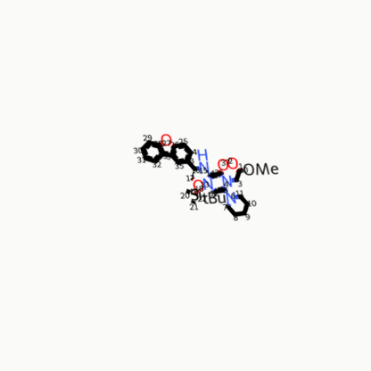 COC(=O)Cn1c(N2CCCCC2)cnc(N[C@H](CO[Si](C)(C)C(C)(C)C)c2ccc3oc4ccccc4c3c2)c1=O